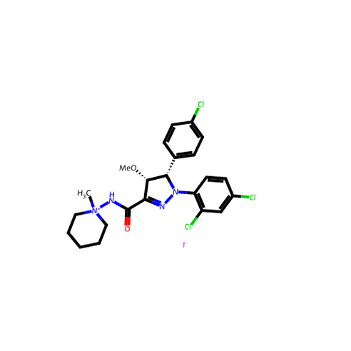 CO[C@H]1C(C(=O)N[N+]2(C)CCCCC2)=NN(c2ccc(Cl)cc2Cl)[C@H]1c1ccc(Cl)cc1.[I-]